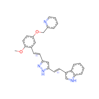 COc1ccc(OCc2ccccn2)cc1/C=C/c1cc(/C=C/c2c[nH]c3ccccc23)[nH]n1